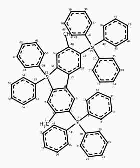 Cc1cc2c(cc1[Si](c1ccccc1)(c1ccccc1)c1ccccc1)-c1cc([Si](c3ccccc3)(c3ccccc3)c3ccccc3)c(C)cc1[Si]2(c1ccccc1)c1ccccc1